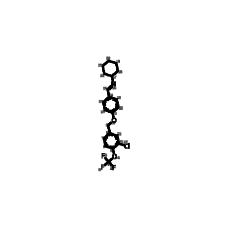 FC(F)(F)Oc1ccc(COc2ccc(C=NC3CCCCC3)cc2)cc1Cl